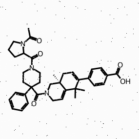 CC(=O)N1CCCC1C(=O)N1CCC(C(=O)N2CC=C3C(C)(C)C(c4ccc(C(=O)O)cc4)=CC[C@]3(C)C2)(c2ccccc2)CC1